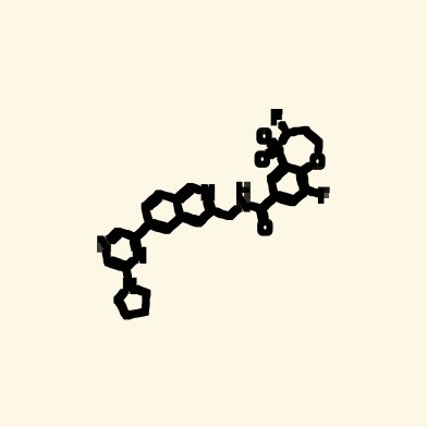 O=C(NCc1cc2cc(-c3cncc(N4CCCC4)n3)ccc2cn1)c1cc(F)c2c(c1)S(=O)(=O)[C@@H](F)CCO2